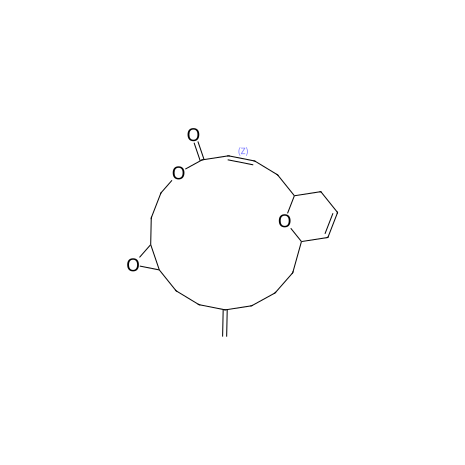 C=C1CCCC2C=CCC(C/C=C\C(=O)OCCC3OC3CC1)O2